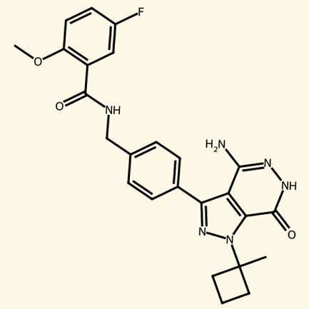 COc1ccc(F)cc1C(=O)NCc1ccc(-c2nn(C3(C)CCC3)c3c(=O)[nH]nc(N)c23)cc1